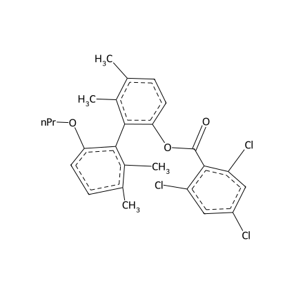 CCCOc1ccc(C)c(C)c1-c1c(OC(=O)c2c(Cl)cc(Cl)cc2Cl)ccc(C)c1C